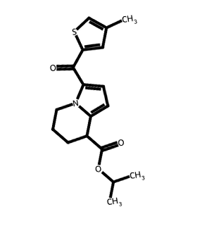 Cc1csc(C(=O)c2ccc3n2CCCC3C(=O)OC(C)C)c1